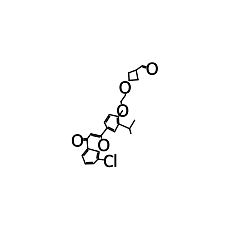 CC(C)c1cc(-c2cc(=O)c3cccc(Cl)c3o2)ccc1OCCOC1CC(C=O)C1